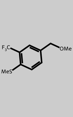 [CH2]OCc1ccc(SC)c(C(F)(F)F)c1